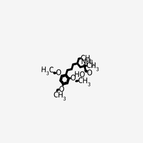 CCOc1cc(OCC)c(CCCC(CC)CC(C)(N)C(=O)O)c(OCC)c1